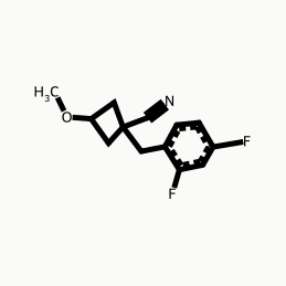 COC1CC(C#N)(Cc2ccc(F)cc2F)C1